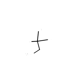 CCOC(=O)C(COC)(C(C)C)C(C)C